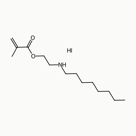 C=C(C)C(=O)OCCNCCCCCCCC.I